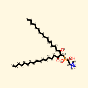 CCCCCCCCCCCCCCCC(=O)C(C/[P+]([O-])=C(\O)C[N+](C)(C)C)C(=O)CCCCCCCCCCCCCCC